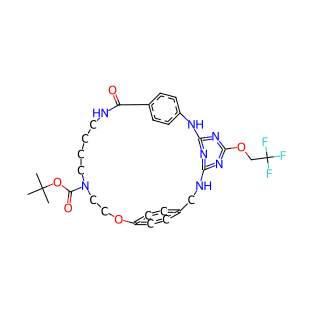 CC(C)(C)OC(=O)N1CCCCNC(=O)c2ccc(cc2)Nc2nc(nc(OCC(F)(F)F)n2)NCc2ccc(cc2)OCC1